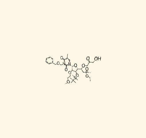 CCOP(C)(=O)C[C@H](OCC(=O)CO)[C@H]1O[C@@H](n2cc(C)c(=O)n(COCc3ccccc3)c2=O)[C@H](OCCOC)[C@@H]1O[Si](C)(C)C(C)(C)C